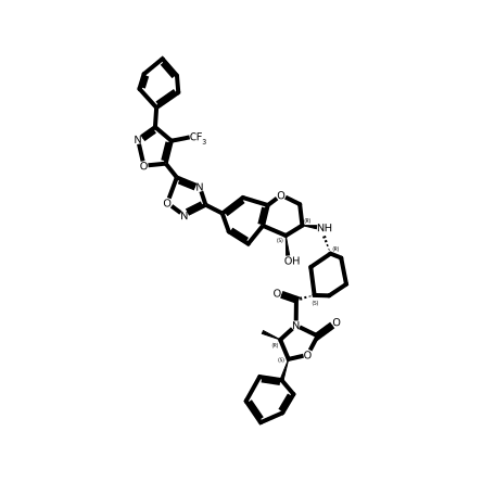 C[C@@H]1[C@H](c2ccccc2)OC(=O)N1C(=O)[C@H]1CCC[C@@H](N[C@@H]2COc3cc(-c4noc(-c5onc(-c6ccccc6)c5C(F)(F)F)n4)ccc3[C@@H]2O)C1